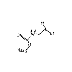 CC[C](CC)CNC(=O)OC(C)(C)C